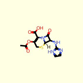 CC(=O)OC1=C(C(=O)O)N2C(=O)C(Nc3ncc[nH]3)[C@H]2SC1